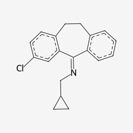 Clc1ccc2c(c1)C(=NCC1CC1)c1ccccc1CC2